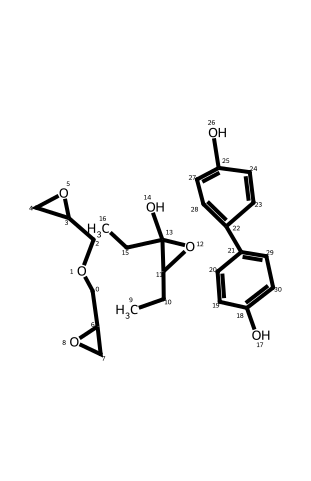 C(OCC1CO1)C1CO1.CCC1OC1(O)CC.Oc1ccc(-c2ccc(O)cc2)cc1